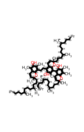 Cc1c(C)c2c(c(-c3c(C)c(O)c(CCc4c(C)c(O)c(C)c5c4OC(C)(CCCC(C)CCCC(C)CCCC(C)C)C=C5)c4c3O[C@@](C)(CCCC(C)CCCC(C)CCCC(C)C)C=C4)c1O)C=C[C@@](C)(CCCC(C)CCCC(C)CCCC(C)C)O2